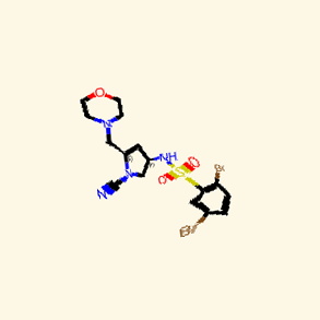 N#CN1C[C@H](NS(=O)(=O)c2cc(Br)ccc2Br)C[C@@H]1CN1CCOCC1